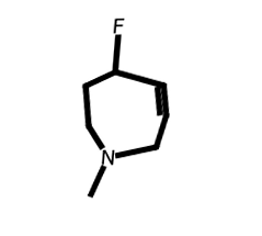 CN1CC=CC(F)CC1